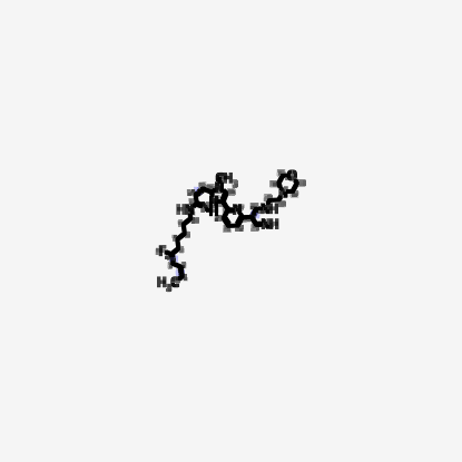 C/C=C\C=C(\F)CCCCCNC(=N)/C=C\C1NC(c2cccc(/C(C=N)=C/NCCN3CCOCC3)n2)=CN1C